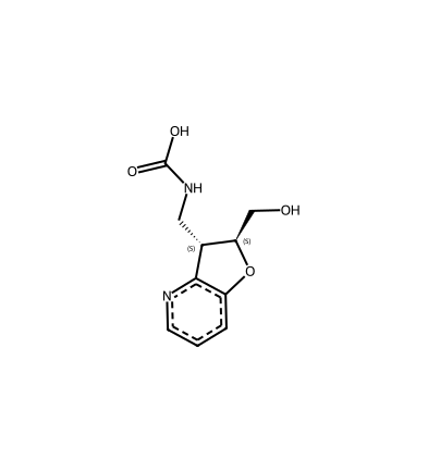 O=C(O)NC[C@H]1c2ncccc2O[C@@H]1CO